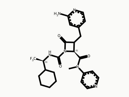 CN(C(=O)[C@@H]1C(Cc2ccnc(N)c2)C(=O)N1C(=O)N[C@@H](C1CCCCC1)C(F)(F)F)c1ccncc1